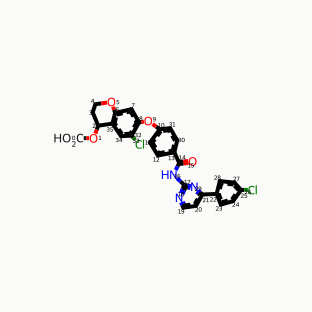 O=C(O)OC1CCOc2cc(Oc3ccc(C(=O)Nc4nccc(-c5ccc(Cl)cc5)n4)cc3)c(Cl)cc21